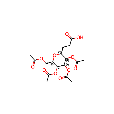 CC(=O)OC[C@H]1O[C@@H](CCC(=O)O)[C@@H](OC(C)=O)[C@@H](OC(C)=O)[C@@H]1OC(C)=O